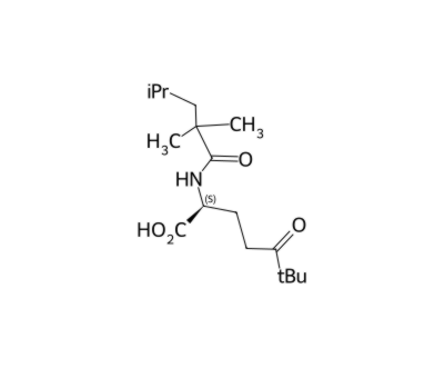 CC(C)CC(C)(C)C(=O)N[C@@H](CCC(=O)C(C)(C)C)C(=O)O